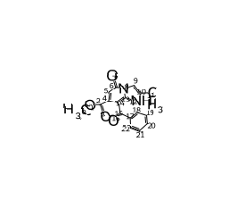 COC(=O)c1cc(=O)n2cc(C)[nH]c2c1C(=O)c1ccccc1